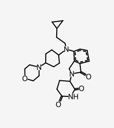 O=C1CCC(N2Cc3c(cccc3N(CCC3CC3)C3CCC(N4CCOCC4)CC3)C2=O)C(=O)N1